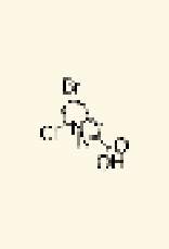 O=C(O)c1cc2cc(Br)cc(Cl)n2n1